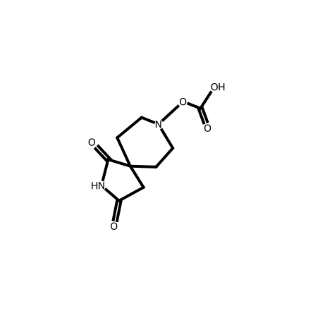 O=C1CC2(CCN(OC(=O)O)CC2)C(=O)N1